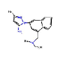 CC(C)(C)c1cc(N)n(-c2cc(CN(C(=O)O)C(C)(C)C)c3ccccc3c2)n1